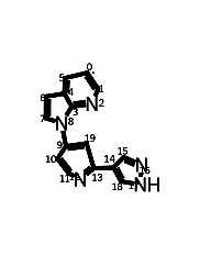 [c]1cnc2c(c1)ccn2-c1ccnc(-c2cn[nH]c2)c1